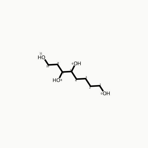 OCCCCC(O)C(O)CCO